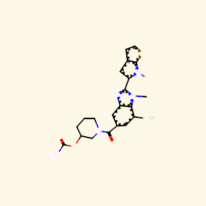 CCn1c(-c2nc3cc(C(=O)N4CCCC(OC(N)=O)C4)cc(OC)c3n2C)cc2ccsc21